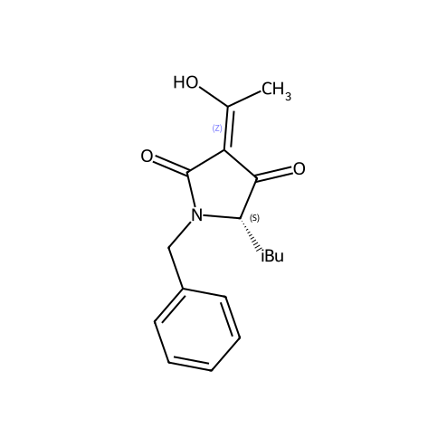 CCC(C)[C@H]1C(=O)/C(=C(\C)O)C(=O)N1Cc1ccccc1